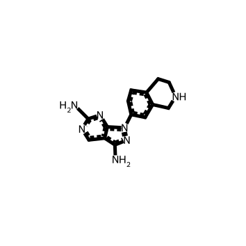 Nc1ncc2c(N)nn(-c3ccc4c(c3)CNCC4)c2n1